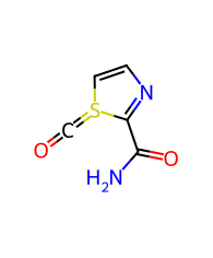 NC(=O)C1=NC=CS1=C=O